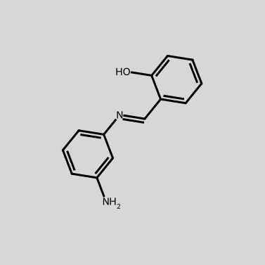 Nc1cccc(N=Cc2ccccc2O)c1